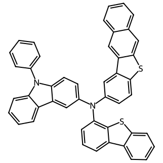 c1ccc(-n2c3ccccc3c3cc(N(c4ccc5sc6cc7ccccc7cc6c5c4)c4cccc5c4sc4ccccc45)ccc32)cc1